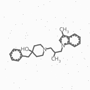 Cc1cn(CC(C)CN2CCC(O)(Cc3ccccc3)CC2)c2ccccc12